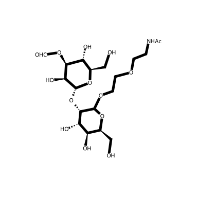 CC(=O)NCCOCCOC1O[C@@H](CO)[C@@H](O)[C@H](O)[C@@H]1O[C@H]1O[C@H](CO)[C@@H](O)[C@H](OC=O)[C@@H]1O